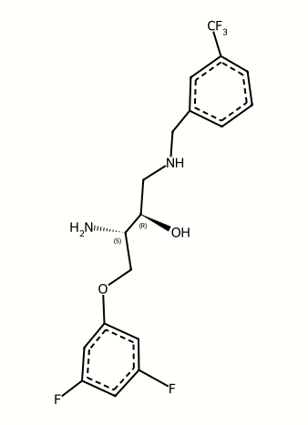 N[C@@H](COc1cc(F)cc(F)c1)[C@H](O)CNCc1cccc(C(F)(F)F)c1